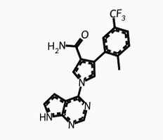 Cc1ccc(C(F)(F)F)cc1-c1cn(-c2ncnc3[nH]ccc23)cc1C(N)=O